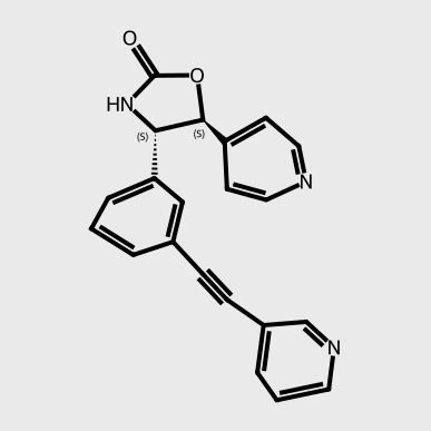 O=C1N[C@@H](c2cccc(C#Cc3cccnc3)c2)[C@H](c2ccncc2)O1